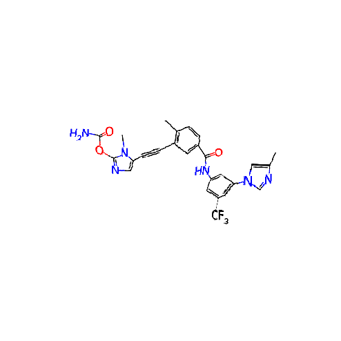 Cc1cn(-c2cc(NC(=O)c3ccc(C)c(C#Cc4cnc(OC(N)=O)n4C)c3)cc(C(F)(F)F)c2)cn1